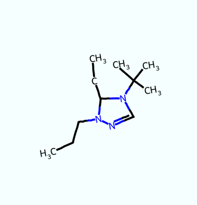 CCCN1N=CN(C(C)(C)C)C1CC